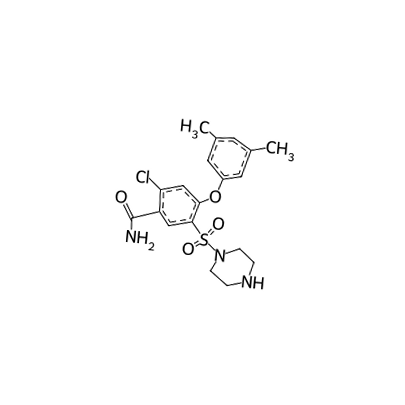 Cc1cc(C)cc(Oc2cc(Cl)c(C(N)=O)cc2S(=O)(=O)N2CCNCC2)c1